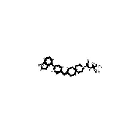 CC(C)(C)OC(=O)N1CCC2(CCC(Cc3ccc(-c4cccc5c4CCN5)nc3)CC2)CC1